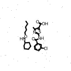 CCCCCONC1CCCCC1.Cc1nc(NC(=O)c2cccc(Cl)c2)sc1C(=O)O